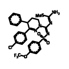 CS/C(N)=N\C(=N\S(=O)(=O)c1ccc(OC(F)(F)F)cc1)N1CCC(c2ccccc2)C(c2ccc(Cl)cc2)=N1